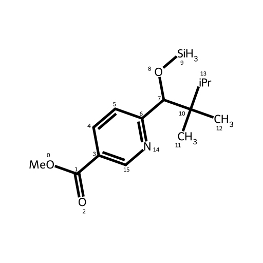 COC(=O)c1ccc(C(O[SiH3])C(C)(C)C(C)C)nc1